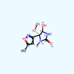 CCO[C@]1(c2cc(C(C)(C)C)on2)C(O)NC(=O)N1C